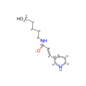 O=C(O)CCCCNC(=O)/C=C/c1cccnc1